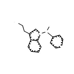 CCCN(c1ccncc1)n1cc(CCNC(C)=O)c2ccccc21